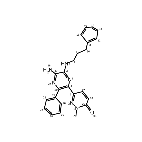 Cn1nc(-c2nc(NCCCc3ccccc3)c(N)nc2-c2ccccc2)ccc1=O